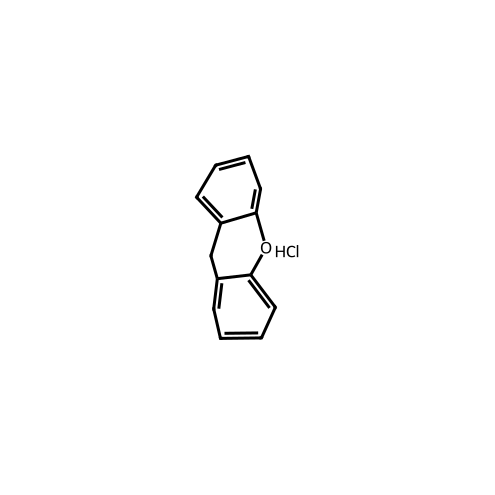 Cl.c1ccc2c(c1)Cc1ccccc1O2